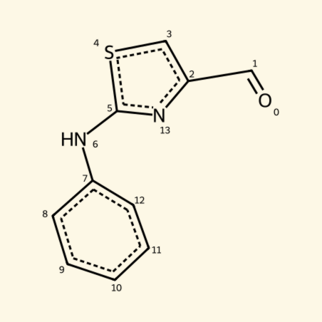 O=Cc1csc(Nc2ccccc2)n1